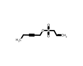 C=CCS(=O)(=O)OCC#CCC